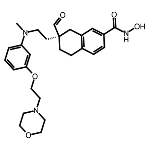 CN(CC[C@@]1(C=O)CCc2ccc(C(=O)NO)cc2C1)c1cccc(OCCN2CCOCC2)c1